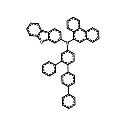 c1ccc(-c2ccc(-c3ccc(N(c4ccc5c(c4)oc4ccccc45)c4cc5ccccc5c5ccccc45)cc3-c3ccccc3)cc2)cc1